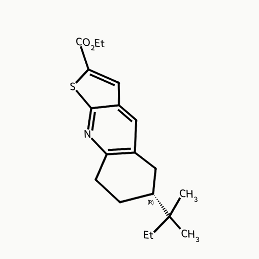 CCOC(=O)c1cc2cc3c(nc2s1)CC[C@@H](C(C)(C)CC)C3